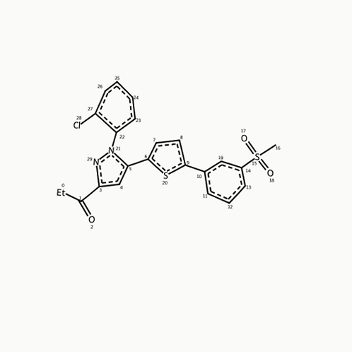 CCC(=O)c1cc(-c2ccc(-c3cccc(S(C)(=O)=O)c3)s2)n(-c2ccccc2Cl)n1